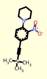 C[Si](C)(C)C#Cc1ccc(N2CCCCC2)c([N+](=O)[O-])c1